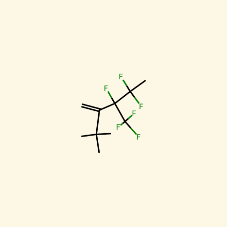 C=C(C(C)(C)C)C(F)(C(C)(F)F)C(F)(F)F